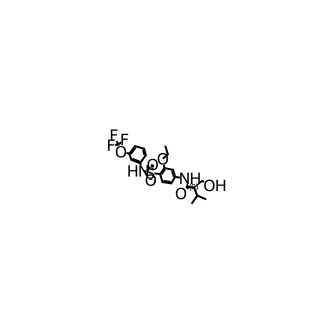 CCOc1cc(NC(=O)[C@@H](CO)C(C)C)ccc1S(=O)(=O)Nc1cccc(OC(F)(F)F)c1